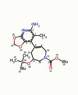 Cc1c(N)nc2c(c1C1=CCN(C(=O)OC(C)(C)C)CC(O[Si](C)(C)C(C)(C)C)C1)OCO2